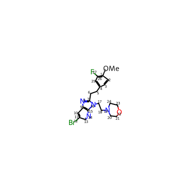 COc1ccc(CCc2nc3cc(Br)cnc3n2CCN2CCOCC2)cc1F